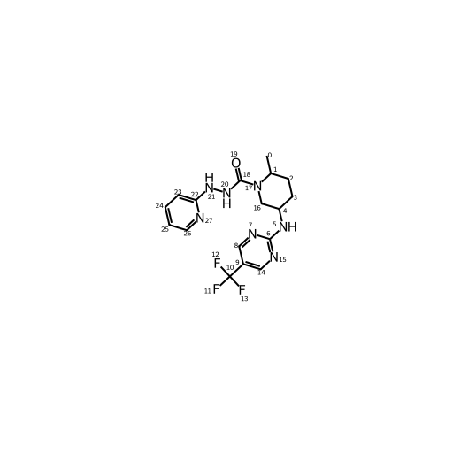 CC1CCC(Nc2ncc(C(F)(F)F)cn2)CN1C(=O)NNc1ccccn1